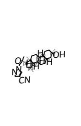 C[C@@H]1C[C@H](C2(C)OC2n2cc(C#N)cn2)[C@@]2(C)CC[C@H]3[C@@H](CC[C@@H]4C[C@](C)(O)CC[C@@H]43)[C@H]12